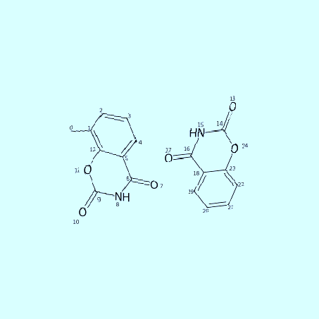 Cc1cccc2c(=O)[nH]c(=O)oc12.O=c1[nH]c(=O)c2ccccc2o1